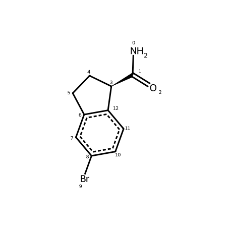 NC(=O)[C@@H]1CCc2cc(Br)ccc21